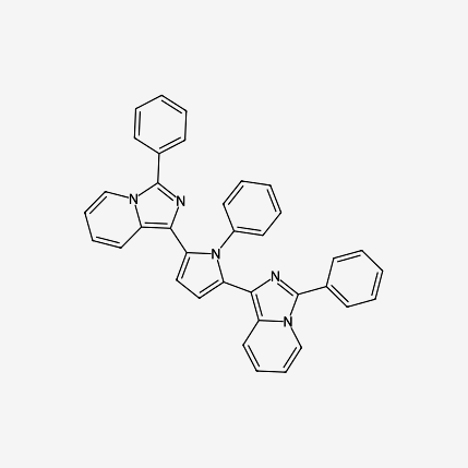 c1ccc(-c2nc(-c3ccc(-c4nc(-c5ccccc5)n5ccccc45)n3-c3ccccc3)c3ccccn23)cc1